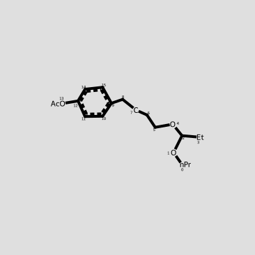 CCCOC(CC)OCCCCc1ccc(OC(C)=O)cc1